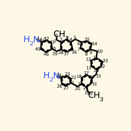 CCc1cc(Cc2ccc(Cc3ccc(Cc4ccc(Cc5ccc(N)cc5)c(CC)c4)cc3)cc2)ccc1Cc1ccc(N)cc1